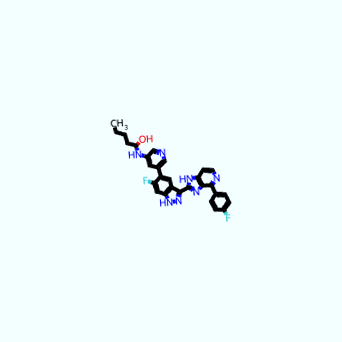 CCCCC(O)Nc1cncc(-c2cc3c(-c4nc5c(-c6ccc(F)cc6)nccc5[nH]4)n[nH]c3cc2F)c1